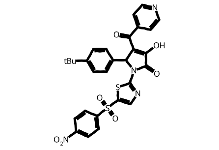 CC(C)(C)c1ccc(C2C(C(=O)c3ccncc3)=C(O)C(=O)N2c2ncc(S(=O)(=O)c3ccc([N+](=O)[O-])cc3)s2)cc1